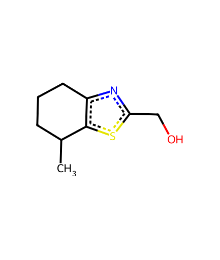 CC1CCCc2nc(CO)sc21